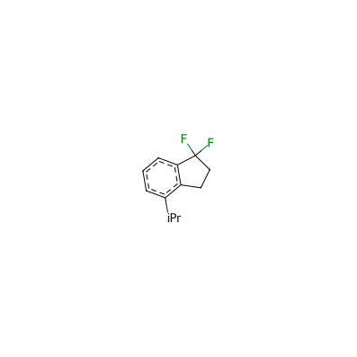 CC(C)c1cccc2c1CCC2(F)F